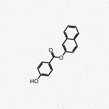 O=C(Oc1ccc2ccccc2c1)c1ccc(O)cc1